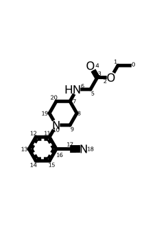 CCOC(=O)CNC1CCN(c2ccccc2C#N)CC1